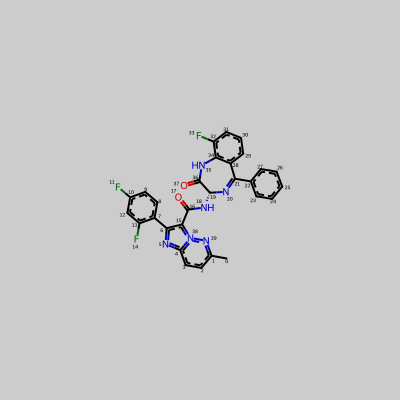 Cc1ccc2nc(-c3ccc(F)cc3F)c(C(=O)N[C@H]3N=C(c4ccccc4)c4cccc(F)c4NC3=O)n2n1